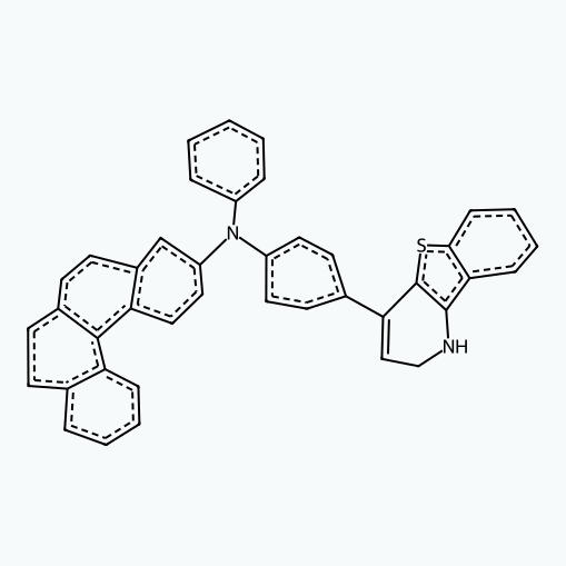 C1=C(c2ccc(N(c3ccccc3)c3ccc4c(ccc5ccc6ccccc6c54)c3)cc2)c2sc3ccccc3c2NC1